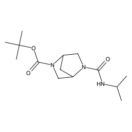 CC(C)NC(=O)N1CC2CC1CN2C(=O)OC(C)(C)C